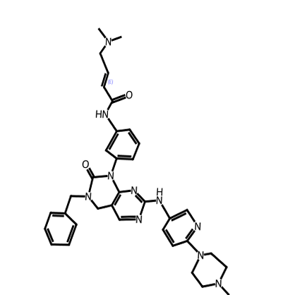 CN(C)C/C=C/C(=O)Nc1cccc(N2C(=O)N(Cc3ccccc3)Cc3cnc(Nc4ccc(N5CCN(C)CC5)nc4)nc32)c1